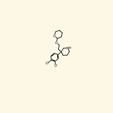 Clc1ccc(C2(CCOC3CCCCO3)CCCNC2)cc1Cl